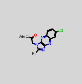 CCc1nc2nc3cc(Cl)ccc3nc2n1CC(=O)OC